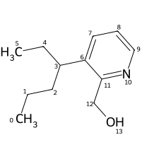 CCCC(CC)c1cccnc1CO